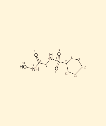 O=C(CNS(=O)(=O)C1CCCCC1)NO